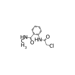 CNC(=O)c1ccccc1NC(=O)CCl